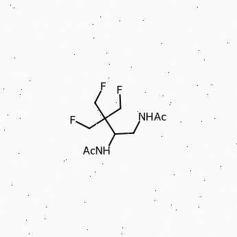 CC(=O)NCC(NC(C)=O)C(CF)(CF)CF